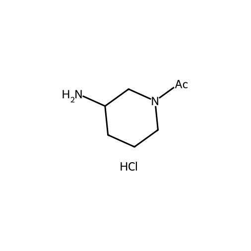 CC(=O)N1CCCC(N)C1.Cl